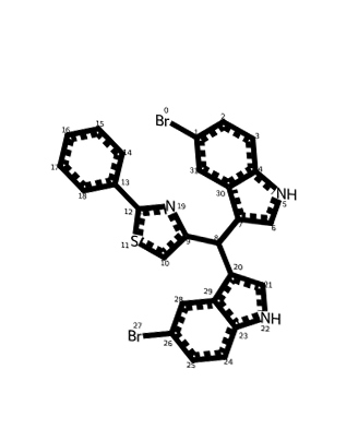 Brc1ccc2[nH]cc(C(c3csc(-c4ccccc4)n3)c3c[nH]c4ccc(Br)cc34)c2c1